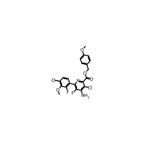 COc1ccc(COC(=O)c2nc(-c3ccc(Cl)c(OC)c3F)c(F)c(N)c2Cl)cc1